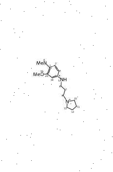 CNc1ccc(NCCCN2CCCC2)cc1OC